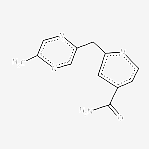 Cc1cnc(Cc2cc(C(N)=O)ccn2)cn1